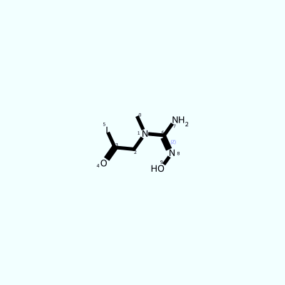 CN(CC(=O)I)/C(N)=N\O